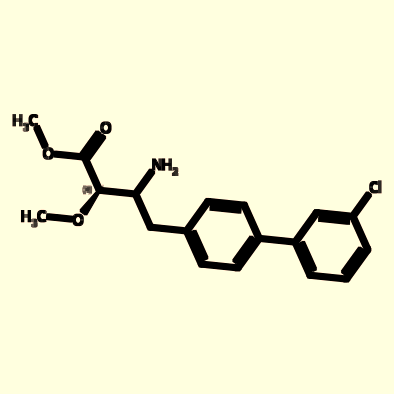 COC(=O)[C@H](OC)C(N)Cc1ccc(-c2cccc(Cl)c2)cc1